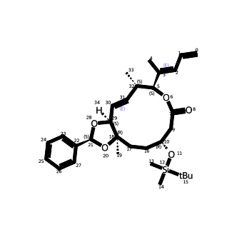 C=C/C=C(\C)[C@H]1OC(=O)C[C@H](O[Si](C)(C)C(C)(C)C)CC[C@@]2(C)O[C@@H](c3ccccc3)O[C@H]2/C=C/[C@@H]1C